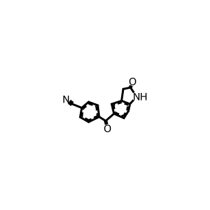 N#Cc1ccc(C(=O)c2ccc3c(c2)CC(=O)N3)cc1